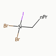 CCCC[Si](Br)(Br)I